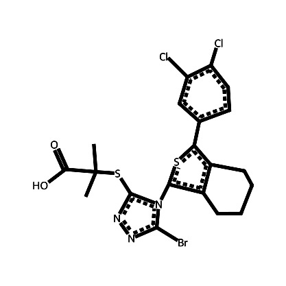 CC(C)(Sc1nnc(Br)n1-c1sc(-c2ccc(Cl)c(Cl)c2)c2c1CCCC2)C(=O)O